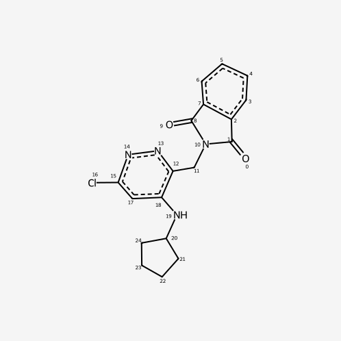 O=C1c2ccccc2C(=O)N1Cc1nnc(Cl)cc1NC1CCCC1